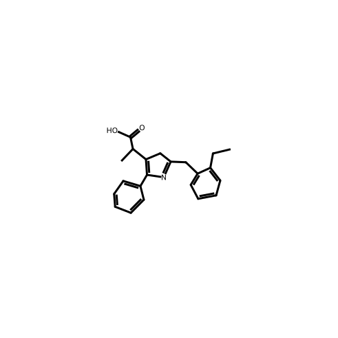 CCc1ccccc1CC1=NC(c2ccccc2)=C(C(C)C(=O)O)C1